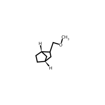 COCC1C[C@@H]2CC[C@H]1C2